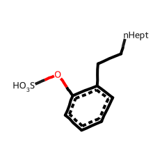 CCCCCCCCCc1ccccc1OS(=O)(=O)O